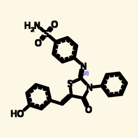 NS(=O)(=O)c1ccc(/N=C2\SC(=Cc3cccc(O)c3)C(=O)N2c2ccccc2)cc1